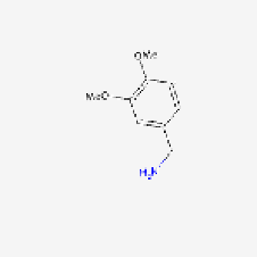 COc1[c]cc(CN)cc1OC